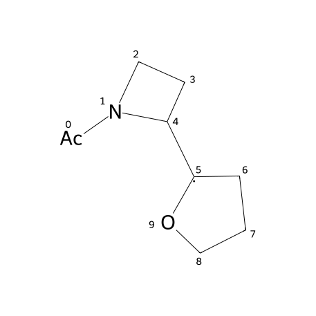 CC(=O)N1CCC1[C]1CCCO1